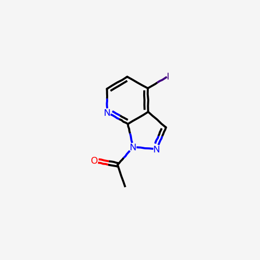 CC(=O)n1ncc2c(I)ccnc21